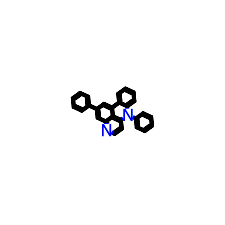 c1ccc(-c2cc3c4c(ccnc4c2)N(c2ccccc2)c2ccccc2-3)cc1